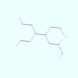 CCCC(CCC)C1CCNC(CC)C1